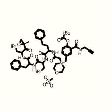 C#CCNC(=O)c1cc(C[N+]2(CC(=O)NC(CCc3ccccc3)C(=O)NC(CC(C)C)C(=O)NC(Cc3ccccc3)C(=O)NC(CC(C)C)C(=O)[C@@]3(C)CO3)CCOCC2)ccc1OC(=O)C(C)(C)C.CS(=O)(=O)[O-]